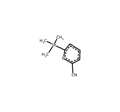 [CH3][Sn]([CH3])([CH3])[c]1cccc(C#N)n1